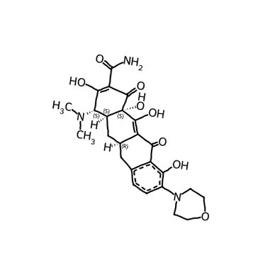 CN(C)[C@@H]1C(O)=C(C(N)=O)C(=O)[C@@]2(O)C(O)=C3C(=O)c4c(ccc(N5CCOCC5)c4O)C[C@H]3C[C@@H]12